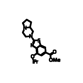 COC(=O)c1cc(OC(C)C)c2nc(N3CCN4CCCC4C3)sc2c1